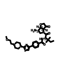 CCC(C)(C)[C@H](NC(=O)c1ccc(-c2csc(N3CCN(CCOC)CC3)n2)cc1)C(=O)N1C[C@H](N)[C@H]2OCC(=O)[C@H]21